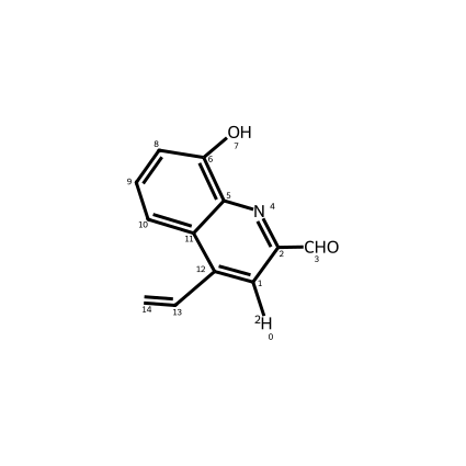 [2H]c1c(C=O)nc2c(O)cccc2c1C=C